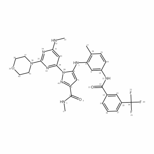 CNC(=O)c1cc(Nc2cc(NC(=O)c3cccc(C(F)(F)F)c3)ccc2C)n(-c2cc(NC)nc(N3CCOCC3)n2)n1